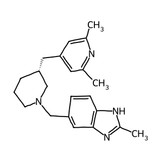 Cc1cc(C[C@H]2CCCN(Cc3ccc4[nH]c(C)nc4c3)C2)cc(C)n1